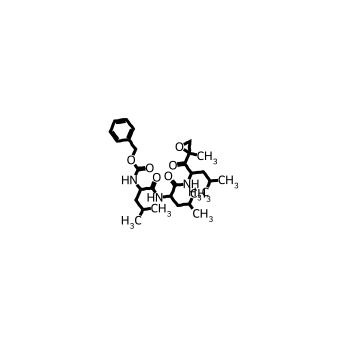 CC(C)CC(NC(=O)OCc1ccccc1)C(=O)NC(CC(C)C)C(=O)NC(CC(C)C)C(=O)C1(C)CO1